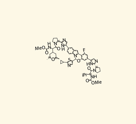 COC(=O)NC(C(=O)N1CCC[C@H]1c1ncc(-c2ccc3c(c2)cc2n3C(c3cnc(C4CC4)s3)Oc3cc(-c4cnc([C@@H]5CCCN5C(=O)[C@@H](NC(=O)OC)C(C)C)[nH]4)cc(F)c3-2)[nH]1)C1C[C@@H](C)O[C@H](C)C1